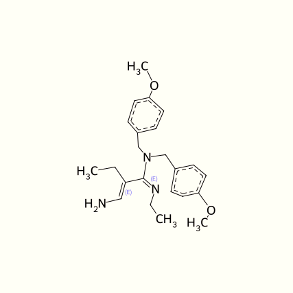 CC/N=C(\C(=C\N)CC)N(Cc1ccc(OC)cc1)Cc1ccc(OC)cc1